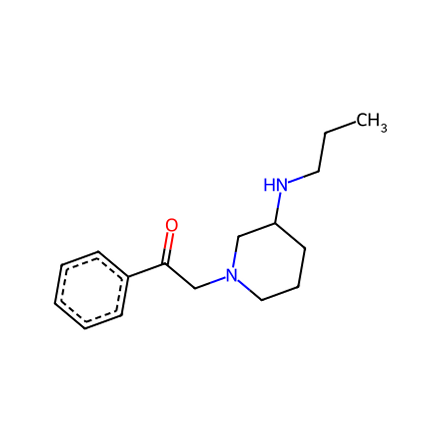 CCCNC1CCCN(CC(=O)c2ccccc2)C1